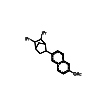 CC(=O)Oc1ccc2cc(C3CC4CC3C(C(C)C)C4C(C)C)ccc2c1